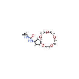 CCCCNC(=O)Nc1ccc2c(c1)OCCOCCOCCOCCO2